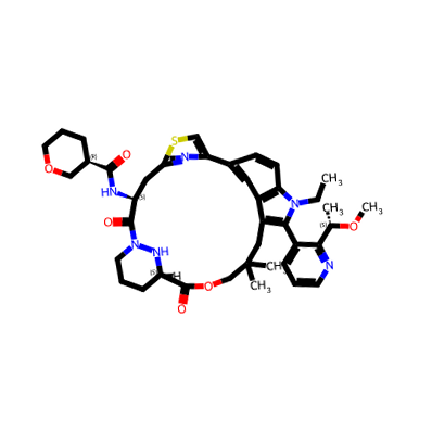 CCn1c(-c2cccnc2[C@H](C)OC)c2c3cc(ccc31)-c1csc(n1)C[C@H](NC(=O)[C@@H]1CCCOC1)C(=O)N1CCC[C@H](N1)C(=O)OCC(C)(C)C2